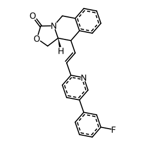 O=C1OC[C@H]2C(/C=C/c3ccc(-c4cccc(F)c4)cn3)c3ccccc3CN12